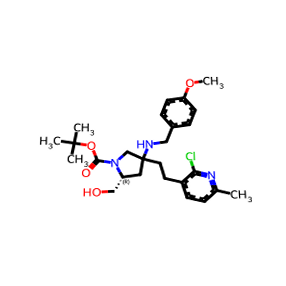 COc1ccc(CNC2(CCc3ccc(C)nc3Cl)C[C@H](CO)N(C(=O)OC(C)(C)C)C2)cc1